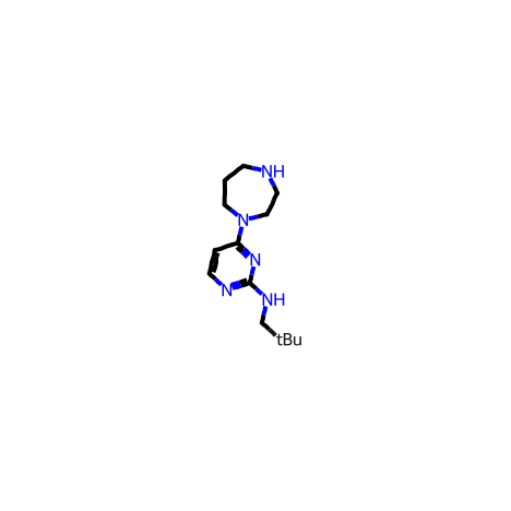 CC(C)(C)CNc1nccc(N2CCCNCC2)n1